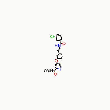 CNC(=O)c1cc(Oc2cccc(CCNC(=O)c3cccc(Cl)c3)c2)ccn1